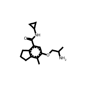 Cc1c(OCC(C)N)cc(C(=O)NC2CC2)c2c1CCC2